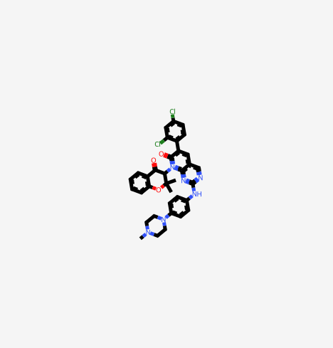 CN1CCN(c2ccc(Nc3ncc4cc(-c5ccc(Cl)cc5Cl)c(=O)n(C5C(=O)c6ccccc6OC5(C)C)c4n3)cc2)CC1